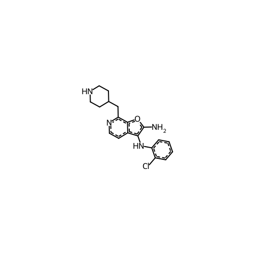 Nc1oc2c(CC3CCNCC3)nccc2c1Nc1ccccc1Cl